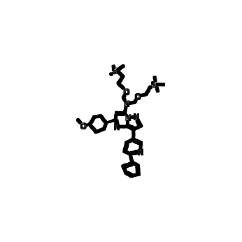 CO[C@H]1CC[C@@H](c2cc(N(COCC[Si](C)(C)C)COCC[Si](C)(C)C)n3ncc(-c4ccc(-c5ccccc5)nc4)c3n2)CC1